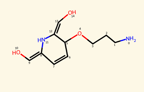 NCCCOC1C=CC(=CO)NC1=CO